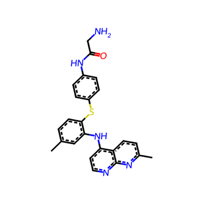 Cc1ccc(Sc2ccc(NC(=O)CN)cc2)c(Nc2ccnc3nc(C)ccc23)c1